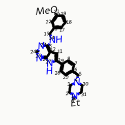 CCN1CCN(Cc2ccc(-c3cc4c(NCc5cccc(OC)c5)ncnc4[nH]3)cc2)CC1